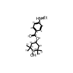 CCNc1ccc(C(=O)OC2CC(C)(C)N(O)C(C)(C)C2)cc1